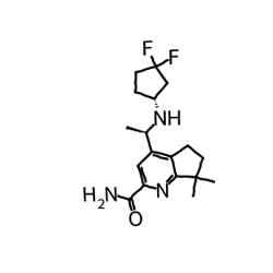 C[C@@H](N[C@@H]1CCC(F)(F)C1)c1cc(C(N)=O)nc2c1CCC2(C)C